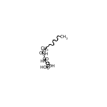 CC/C=C\C/C=C\C/C=C\C/C=C\C/C=C\CCCCO[C@H](CC)C(=O)NCCOC(=O)Nc1ccc(O)c(C(=O)O)c1